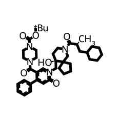 C[C@H](CC1CCCCC1)C(=O)N1CC[C@](O)(Cn2cc(C(=O)N3CCN(C(=O)OC(C)(C)C)CC3)c(-c3ccccc3)cc2=O)C2(CCCC2)C1